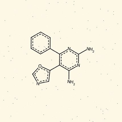 Nc1nc(N)c(-c2cnco2)c(-c2ccccc2)n1